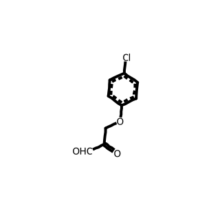 O=CC(=O)COc1ccc(Cl)cc1